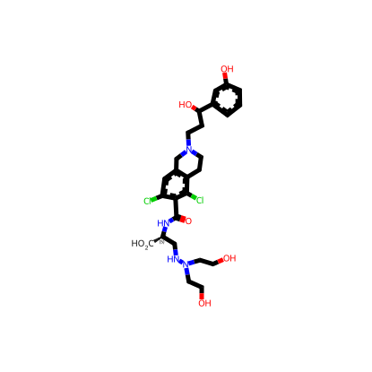 O=C(N[C@@H](CNN(CCO)CCO)C(=O)O)c1c(Cl)cc2c(c1Cl)CCN(CCC(O)c1cccc(O)c1)C2